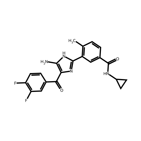 Cc1ccc(C(=O)NC2CC2)cc1-c1nc(C(=O)c2ccc(F)c(F)c2)c(N)[nH]1